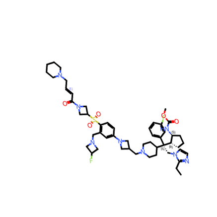 CCc1nccn1C[C@@](c1cccc(F)c1)(C1CCN(CC2CN(c3ccc(S(=O)(=O)C4CN(C(=O)/C=C/CN5CCCCC5)C4)c(CN4CC(F)C4)c3)C2)CC1)[C@H]1CCC[C@@H]1NC(=O)OC